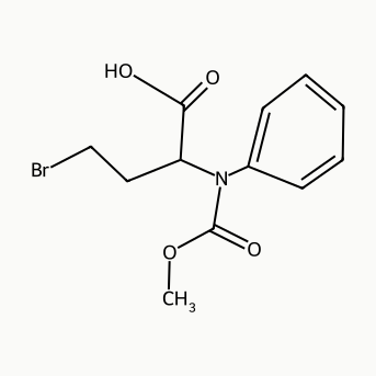 COC(=O)N(c1ccccc1)C(CCBr)C(=O)O